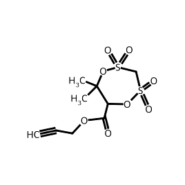 C#CCOC(=O)C1OS(=O)(=O)CS(=O)(=O)OC1(C)C